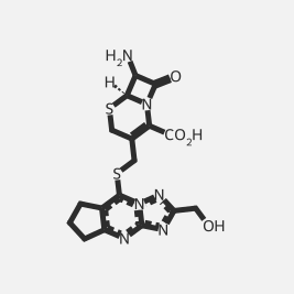 NC1C(=O)N2C(C(=O)O)=C(CSc3c4c(nc5nc(CO)nn35)CCC4)CS[C@@H]12